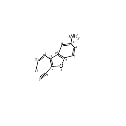 C#Cc1oc2ccc(N)cc2c1/C=C\C